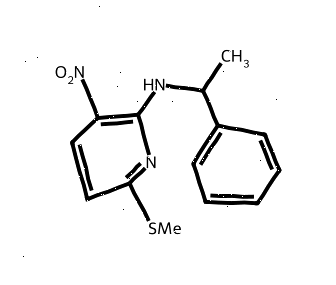 CSc1ccc([N+](=O)[O-])c(NC(C)c2ccccc2)n1